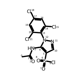 CC(=O)Nc1c(S(=O)(=O)Cl)cnn1-c1c(Cl)cc(Cl)cc1Cl